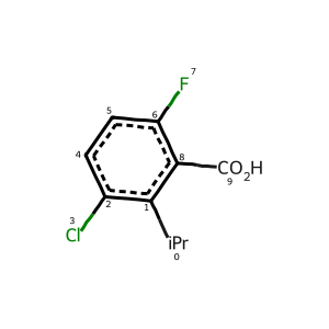 CC(C)c1c(Cl)ccc(F)c1C(=O)O